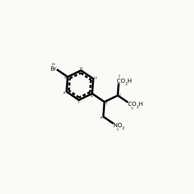 O=C(O)C(C(=O)O)C(C[N+](=O)[O-])c1ccc(Br)cc1